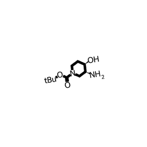 CC(C)(C)OC(=O)N1CC[C@H](O)[C@H](N)C1